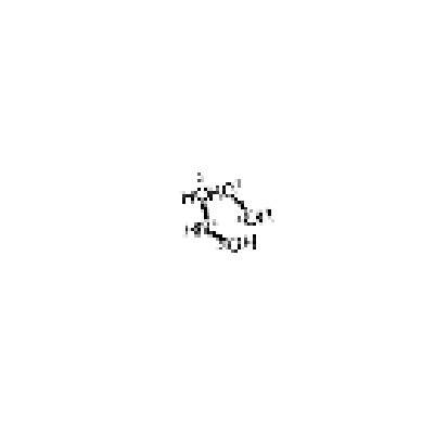 ONO.OO